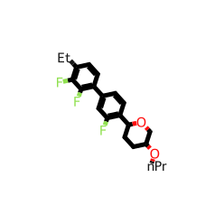 CCCOC1CCC(c2ccc(-c3ccc(CC)c(F)c3F)cc2F)OC1